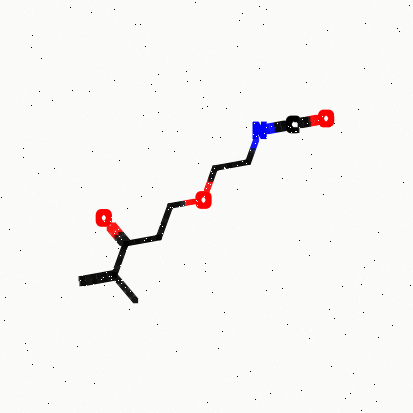 C=C(C)C(=O)CCOCCN=C=O